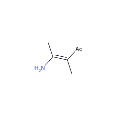 CC(=O)/C(C)=C(\C)N